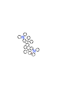 C1=CCCC(C2(C3C=CC=CC3)c3cc(N(C4=CCCC=C4)C4C=CC=CC4)ccc3-c3cc4c(c5cccc2c35)-c2ccc(N(c3ccccc3)C3C=CC=CC3)cc2C4(c2ccccc2)c2ccccc2)=C1